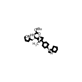 Cn1c(-c2ccc(-n3cnc4ccccc43)cc2)cnc1[C@H](Cc1ccccn1)NC(=O)OC(C)(C)C